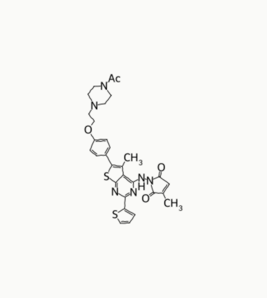 CC(=O)N1CCN(CCOc2ccc(-c3sc4nc(-c5cccs5)nc(NN5C(=O)C=C(C)C5=O)c4c3C)cc2)CC1